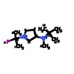 CN([C@@H]1CCN(C(C)(C)I)C1)C(C)(C)C